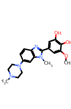 COc1cc(-c2nc3ccc(N4CCN(C)CC4)cc3n2C)cc(O)c1O